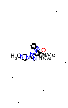 CNC(=O)c1c(NC)c2ncc(N3CCCN(C)CC3)nc2n2c1nc1ccccc12